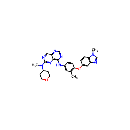 Cc1cc(Nc2ncnc3cnc(N(C)C4CCOCC4)nc23)ccc1Oc1ccc2c(c1)ncn2C